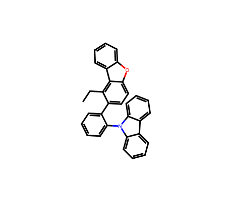 CCc1c(-c2ccccc2-n2c3ccccc3c3ccccc32)ccc2oc3ccccc3c12